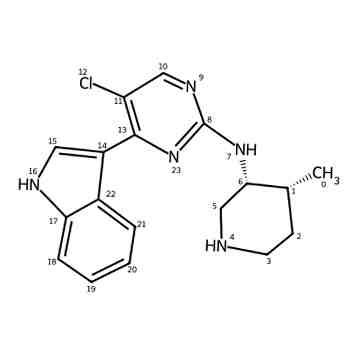 C[C@@H]1CCNC[C@@H]1Nc1ncc(Cl)c(-c2c[nH]c3ccccc23)n1